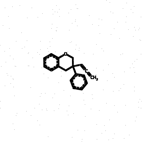 C=C=CC1(c2ccccc2)COc2ccccc2C1